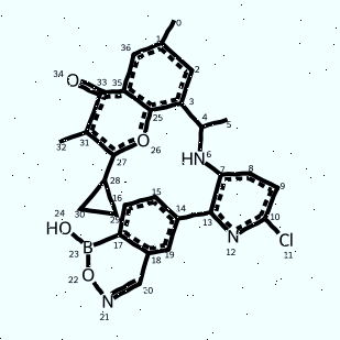 Cc1cc(C(C)Nc2ccc(Cl)nc2-c2ccc3c(c2)C=NOB3O)c2oc(C3CC3)c(C)c(=O)c2c1